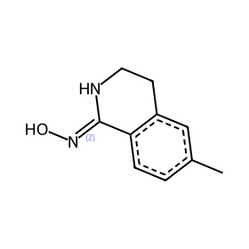 Cc1ccc2c(c1)CCN/C2=N\O